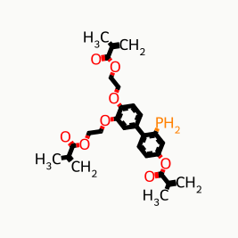 C=C(C)C(=O)OCCOc1ccc(-c2ccc(OC(=O)C(=C)C)cc2P)cc1OCCOC(=O)C(=C)C